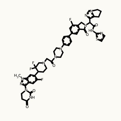 Cn1nc(N2CCC(=O)NC2=O)c2cc(F)c(C3CCN(CC(=O)N4CCN(c5ccc(-c6cc(F)c7c(c6)C(=O)N(C(C(=O)Nc6nccs6)c6ncn8c6CCC8)C7)cc5)CC4)CC3(F)F)cc21